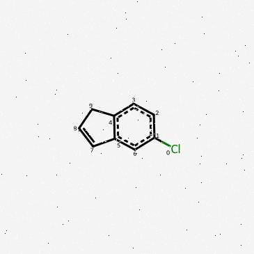 Clc1ccc2c(c1)C=[C]C2